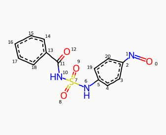 O=Nc1ccc(NS(=O)(=O)NC(=O)c2ccccc2)cc1